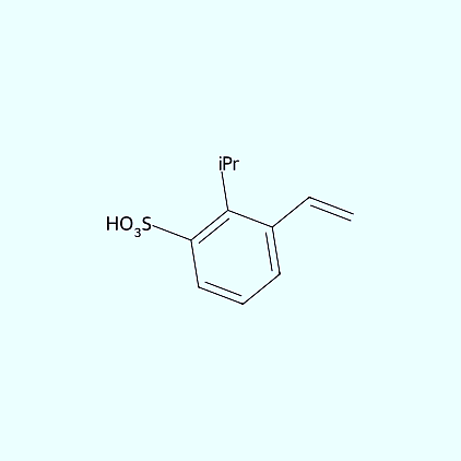 C=Cc1cccc(S(=O)(=O)O)c1C(C)C